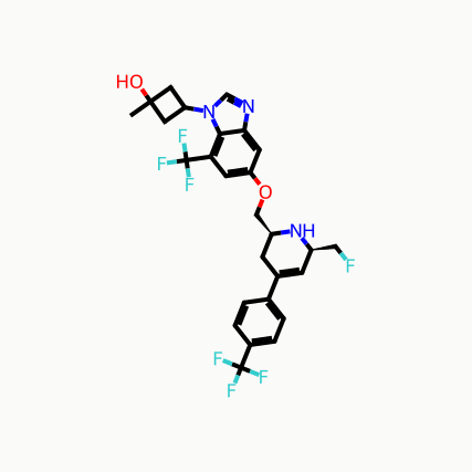 CC1(O)CC(n2cnc3cc(OC[C@@H]4CC(c5ccc(C(F)(F)F)cc5)=C[C@H](CF)N4)cc(C(F)(F)F)c32)C1